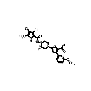 COc1cccc(-c2nc(N3CC[C@@H](NC(=O)c4[nH]c(C)c(Cl)c4Cl)[C@@H](F)C3)sc2C(=O)O)n1